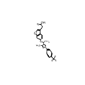 Cc1nn(-c2ccc(C(F)(F)F)cc2)cc1C(C)Oc1ccc2c(CC(=O)O)coc2c1